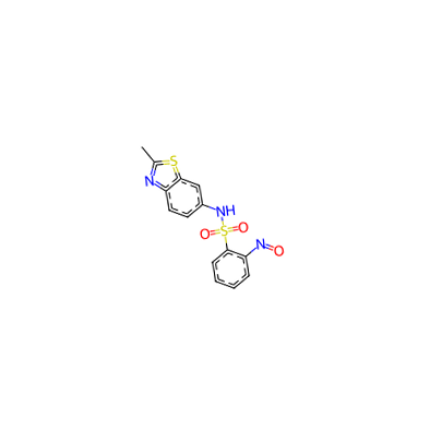 Cc1nc2ccc(NS(=O)(=O)c3ccccc3N=O)cc2s1